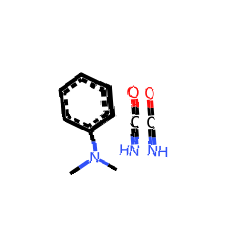 CN(C)c1ccccc1.N=C=O.N=C=O